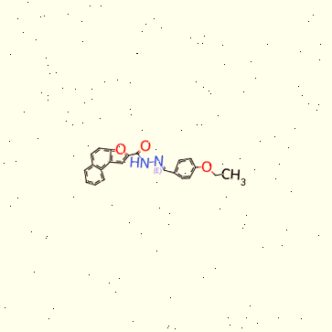 CCOc1ccc(/C=N/NC(=O)c2cc3c(ccc4ccccc43)o2)cc1